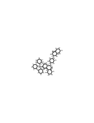 c1ccc2c(c1)-c1ccccc1C21c2ccccc2-c2cc3c(-c4ccc(-c5cnc6ccccc6c5)cc4)nc4ccccc4c3cc21